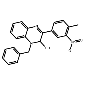 O=[N+]([O-])c1cc(C2=Nc3ccccc3N(Cc3ccccc3)C2O)ccc1F